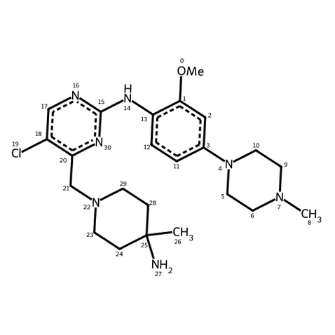 COc1cc(N2CCN(C)CC2)ccc1Nc1ncc(Cl)c(CN2CCC(C)(N)CC2)n1